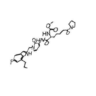 CCCc1cc(F)cc2cc(Cn3cccc(NC(=O)[C@H](CC/C=C/C(=O)N4CCCC4)NC(=O)OC)c3=O)[nH]c12